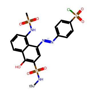 CC(C)(C)NS(=O)(=O)c1cc(/N=N/c2ccc(S(=O)(=O)Cl)cc2)c2c(NS(C)(=O)=O)cccc2c1O